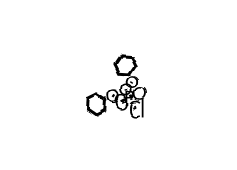 O=P(Cl)(OOC1CCCCC1)OOC1CCCCC1